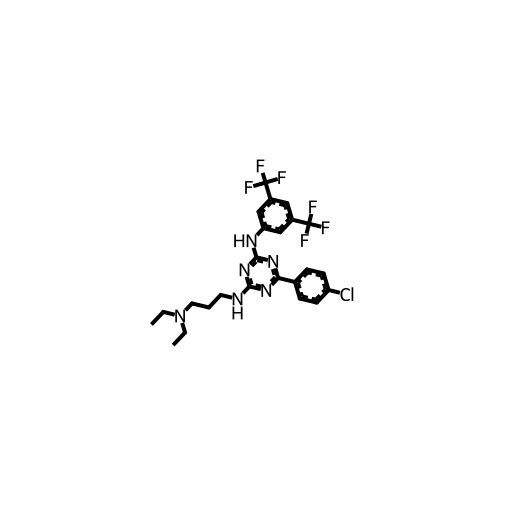 CCN(CC)CCCNc1nc(Nc2cc(C(F)(F)F)cc(C(F)(F)F)c2)nc(-c2ccc(Cl)cc2)n1